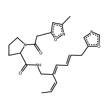 C\C=C/C(=C\C=C\Cc1cnco1)CNC(=O)C1CCCN1C(=O)Cc1cc(C)no1